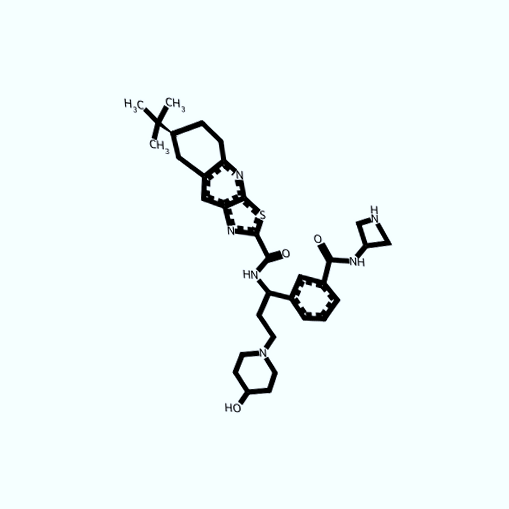 CC(C)(C)[C@H]1CCc2nc3sc(C(=O)NC(CCN4CCC(O)CC4)c4cccc(C(=O)NC5CNC5)c4)nc3cc2C1